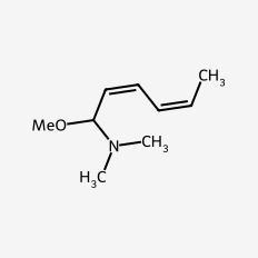 C/C=C\C=C/C(OC)N(C)C